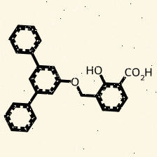 O=C(O)c1cccc(COc2cc(-c3ccccc3)cc(-c3ccccc3)c2)c1O